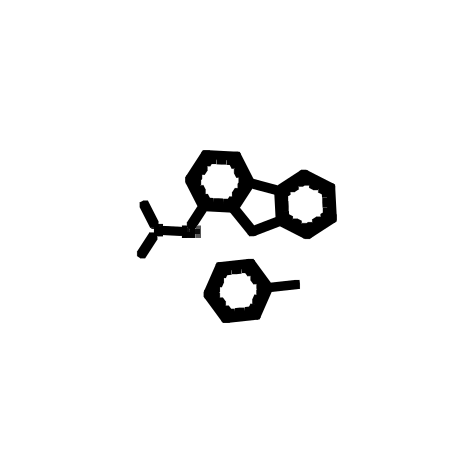 Cc1ccccc1.[CH3][Ti]([CH3])[NH]c1cccc2c1Cc1ccccc1-2